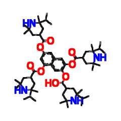 CC(C)C1(C)CC(C(=O)Oc2cc(OC(=O)C3CC(C)(C)NC(C)(C(C)C)C3)c3cc(OC(O)C4CC(C)(C)NC(C)(C(C)C)C4)c(OC(=O)C4CC(C)(C)NC(C)(C(C)C)C4)cc3c2)CC(C)(C)N1